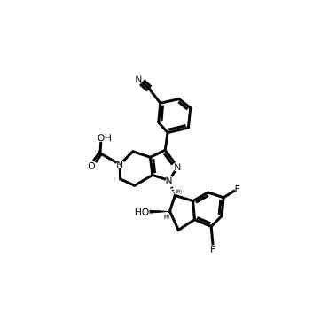 N#Cc1cccc(-c2nn([C@@H]3c4cc(F)cc(F)c4C[C@H]3O)c3c2CN(C(=O)O)CC3)c1